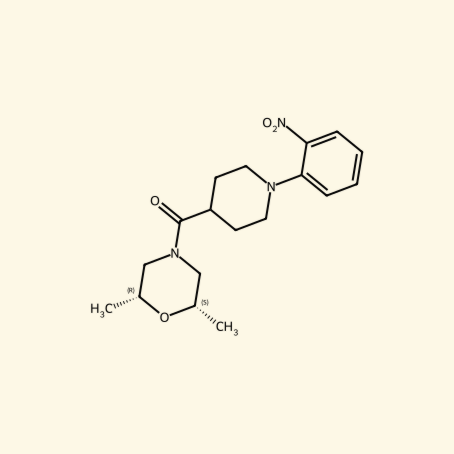 C[C@@H]1CN(C(=O)C2CCN(c3ccccc3[N+](=O)[O-])CC2)C[C@H](C)O1